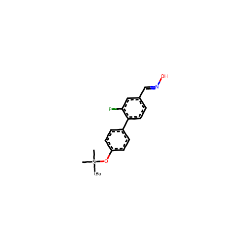 CC(C)(C)[Si](C)(C)Oc1ccc(-c2ccc(C=NO)cc2F)cc1